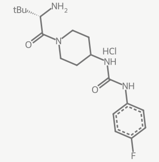 CC(C)(C)[C@H](N)C(=O)N1CCC(NC(=O)Nc2ccc(F)cc2)CC1.Cl